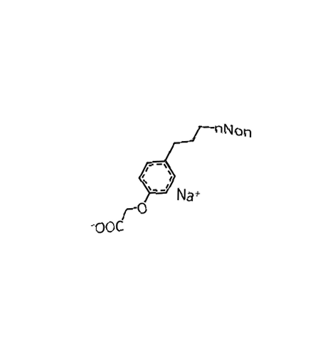 CCCCCCCCCCCCc1ccc(OCC(=O)[O-])cc1.[Na+]